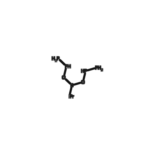 CC(C)B(OPP)OPP